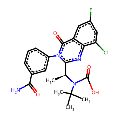 C[C@@H](c1nc2c(Cl)cc(F)cc2c(=O)n1-c1cccc(C(N)=O)c1)N(C(=O)O)C(C)(C)C